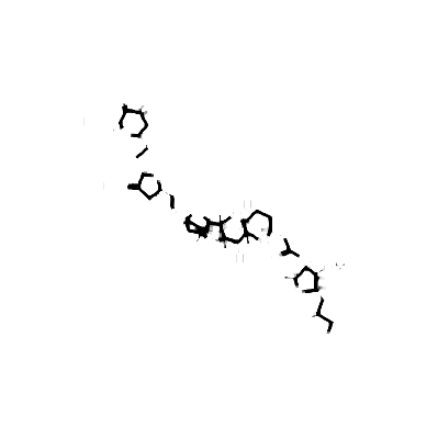 C=C1C[C@H](CC[C@@]23C[C@H]4O[C@H]5[C@@H](O2)[C@H]2O[C@@H](CC(=O)C[C@@H]6[C@@H](OC)[C@@H](C[C@H](O)CO)O[C@H]6C)CC[C@@H]2O[C@H]5[C@H]4O3)O[C@H]1CC[C@H]1C[C@@H](C)C(=C)[C@@H](C)O1